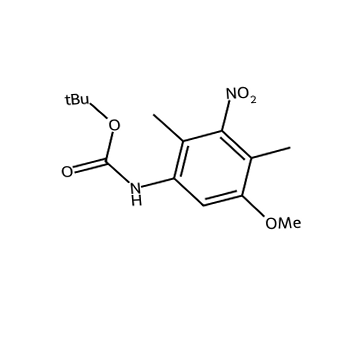 COc1cc(NC(=O)OC(C)(C)C)c(C)c([N+](=O)[O-])c1C